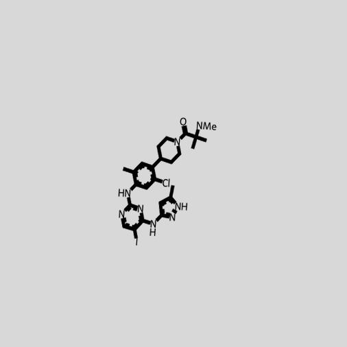 CNC(C)(C)C(=O)N1CCC(c2cc(C)c(Nc3ncc(I)c(Nc4cc(C)[nH]n4)n3)cc2Cl)CC1